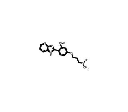 COc1cc(OCCC[S+](C)[O-])ccc1-c1nc2ncccc2[nH]1